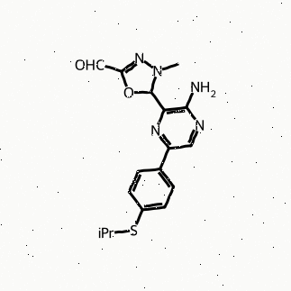 CC(C)Sc1ccc(-c2cnc(N)c(C3OC(C=O)=NN3C)n2)cc1